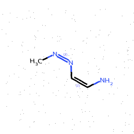 C/N=N\C=C/N